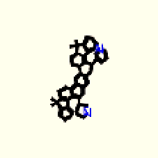 CC1(C)c2ccccc2-c2c1ccc1c2c(-c2cccnc2)cc2cc3cc(-c4cccnc4)c4c5c(ccc4c3cc21)C(C)(C)c1ccccc1-5